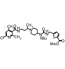 CCCCN(C(=O)NCc1ccc(C(=O)OC)s1)C1CCN(C(C)CCNC(=O)c2c(C)cc(Cl)nc2C)CC1